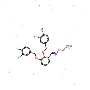 O=C(O)CON=Cc1cccc(OCc2ccc(F)c(F)c2)c1OCc1ccc(F)c(F)c1